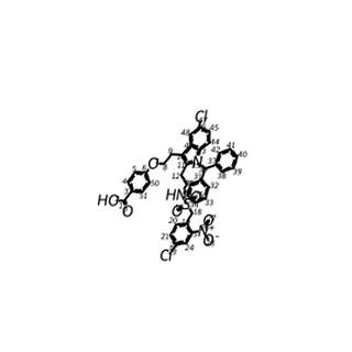 O=C(O)c1ccc(OCCc2c(CCNS(=O)(=O)Cc3ccc(Cl)cc3[N+](=O)[O-])n(C(c3ccccc3)c3ccccc3)c3ccc(Cl)cc23)cc1